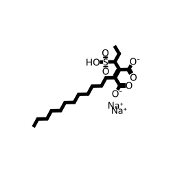 CCCCCCCCCCCC/C(C(=O)[O-])=C(/C(=O)[O-])C(CC)S(=O)(=O)O.[Na+].[Na+]